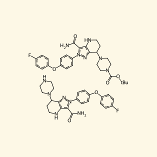 CC(C)(C)OC(=O)N1CCN(C2CCNc3c2nn(-c2ccc(Oc4ccc(F)cc4)cc2)c3C(N)=O)CC1.NC(=O)c1c2c(nn1-c1ccc(Oc3ccc(F)cc3)cc1)C(N1CCNCC1)CCN2